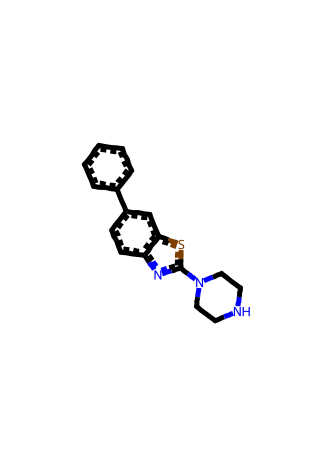 c1ccc(-c2ccc3nc(N4CCNCC4)sc3c2)cc1